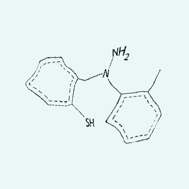 Cc1ccccc1N(N)c1ccccc1S